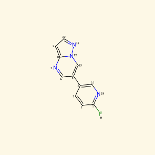 Fc1ccc(-c2cnc3ccnn3c2)cn1